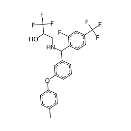 Cc1ccc(Oc2cccc(C(NCC(O)C(F)(F)F)c3ccc(C(F)(F)F)cc3F)c2)cc1